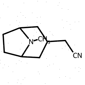 CN1C2CCC1CC(CC#N)C2